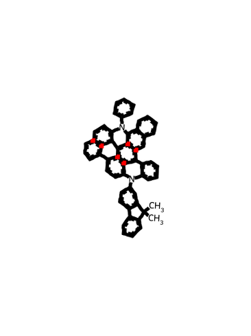 CC1(C)c2ccccc2-c2ccc(N(c3ccc(-c4ccccc4)cc3)c3ccccc3-c3ccc(-c4ccccc4N(c4ccccc4)c4cccc5ccccc45)cc3)cc21